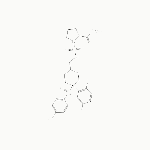 COC(=O)C1CCCN1S(=O)(=O)NCC1CCC(c2cc(F)ccc2F)(S(=O)(=O)c2ccc(Cl)cc2)CC1